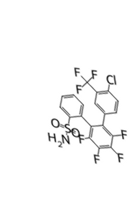 NS(=O)(=O)c1ccccc1-c1c(F)c(F)c(F)c(F)c1-c1ccc(Cl)c(C(F)(F)F)c1